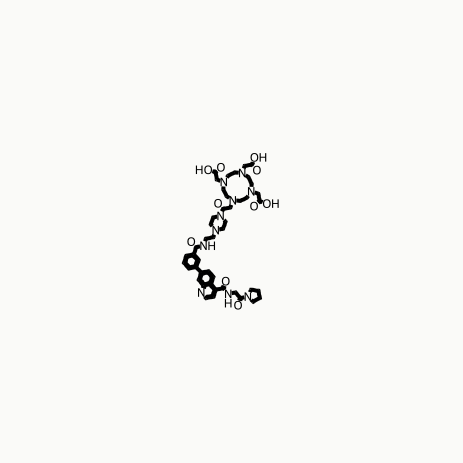 O=C(O)CN1CCN(CC(=O)O)CCN(CC(=O)N2CCN(CCNC(=O)c3cccc(-c4ccc5c(C(=O)NCC(=O)N6CCCC6)ccnc5c4)c3)CC2)CCN(CC(=O)O)CC1